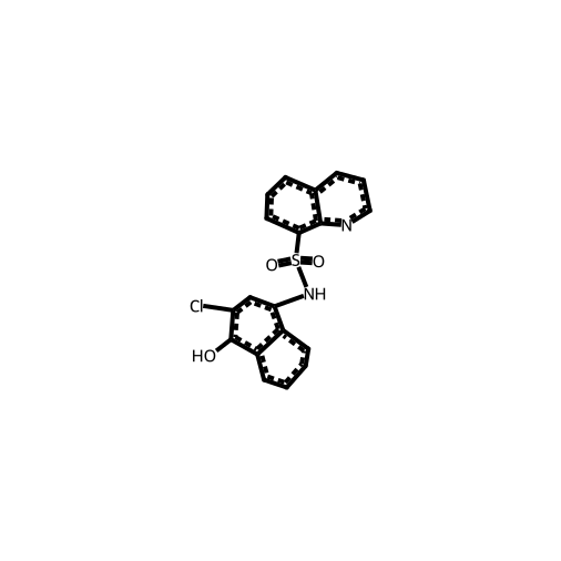 O=S(=O)(Nc1cc(Cl)c(O)c2ccccc12)c1cccc2cccnc12